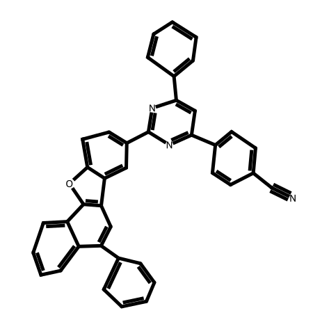 N#Cc1ccc(-c2cc(-c3ccccc3)nc(-c3ccc4oc5c6ccccc6c(-c6ccccc6)cc5c4c3)n2)cc1